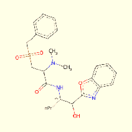 CCC[C@H](NC(=O)C(CS(=O)(=O)Cc1ccccc1)N(C)C)C(O)c1nc2ccccc2o1